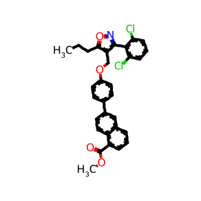 CCCc1onc(-c2c(Cl)cccc2Cl)c1COc1ccc(-c2ccc3c(C(=O)OC)cccc3c2)cc1